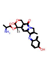 C=C1C=C(O)C=C/C1=N/C1=C(C)Cn2c1cc1c(c2=O)COC(=O)[C@@]1(CC)OC(=O)C(C)N